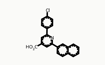 O=C(O)c1cc(-c2ccc(Cl)cc2)nc(-c2ccc3ccccc3c2)c1